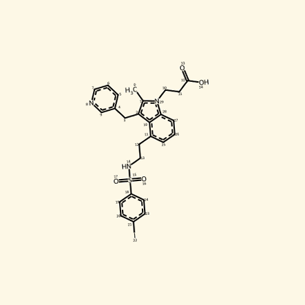 Cc1c(Cc2cccnc2)c2c(CCNS(=O)(=O)c3ccc(I)cc3)cccc2n1CCC(=O)O